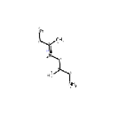 C/C(CC(C)C)=N\CC(O)CN